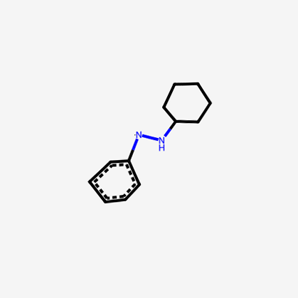 c1ccc([N]NC2CCCCC2)cc1